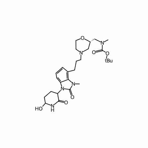 CN(C[C@@H]1CN(CCCc2cccc3c2n(C)c(=O)n3C2CCC(O)NC2=O)CCO1)C(=O)OC(C)(C)C